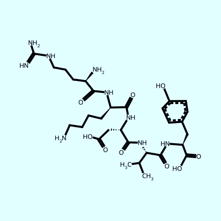 CC(C)[C@H](NC(=O)[C@H](CC(=O)O)NC(=O)[C@@H](CCCCN)NC(=O)[C@H](N)CCCNC(=N)N)C(=O)N[C@@H](Cc1ccc(O)cc1)C(=O)O